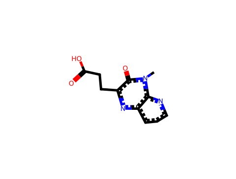 Cn1c(=O)c(CCC(=O)O)nc2cccnc21